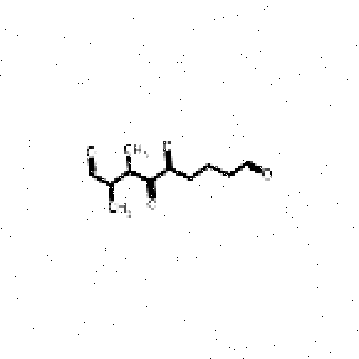 CC(C=O)C(C)C(=O)C(=O)CCCC=O